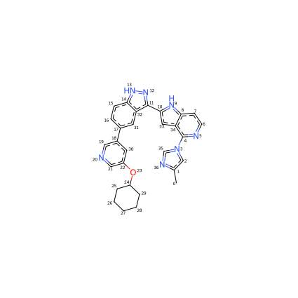 Cc1cn(-c2nccc3[nH]c(-c4n[nH]c5ccc(-c6cncc(OC7CCCCC7)c6)cc45)cc23)cn1